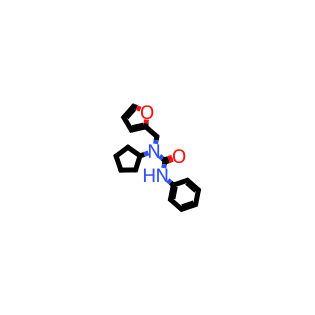 O=C(Nc1ccccc1)N(Cc1ccco1)C1CCCC1